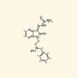 CC(C)N(CCN1C(=O)C(=NNC(N)=O)c2ccccc21)Cc1ccccc1